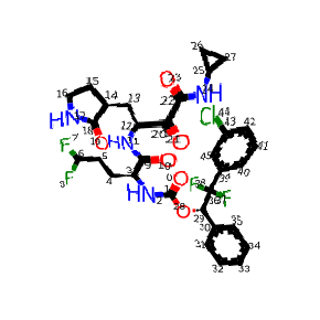 O=C(N[C@@H](CCC(F)F)C(=O)N[C@@H](C[C@@H]1CCNC1=O)C(=O)C(=O)NC1CC1)O[C@@H](c1ccccc1)C(F)(F)c1cccc(Cl)c1